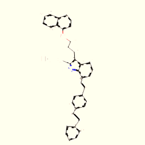 O=C(O)c1[nH]c2c(/C=C/c3ccc(/C=C/c4ccccc4)cc3)cccc2c1CCCOc1cccc2ccccc12